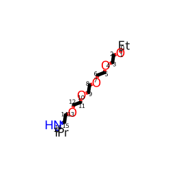 CCOCCOCCOCCOCCOCCNC(C)C